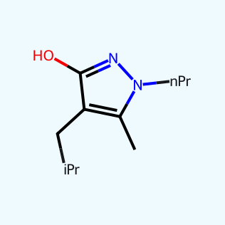 CCCn1nc(O)c(CC(C)C)c1C